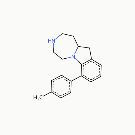 Cc1ccc(-c2cccc3c2N2CCNCCC2C3)cc1